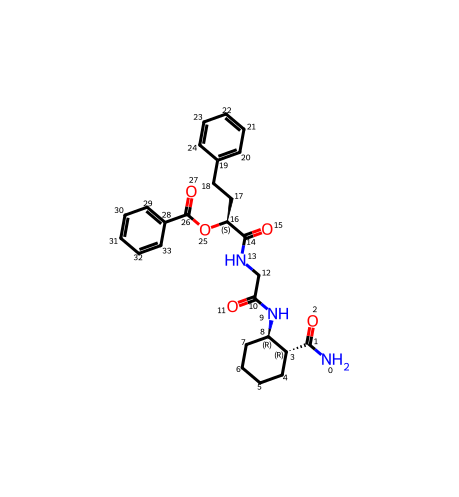 NC(=O)[C@@H]1CCCC[C@H]1NC(=O)CNC(=O)[C@H](CCc1ccccc1)OC(=O)c1ccccc1